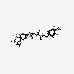 CN(C)C1(c2cccs2)CCC(NC(=O)CCC(=O)NCCc2ccc(Br)cc2)CC1